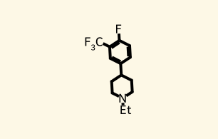 CCN1CCC(c2ccc(F)c(C(F)(F)F)c2)CC1